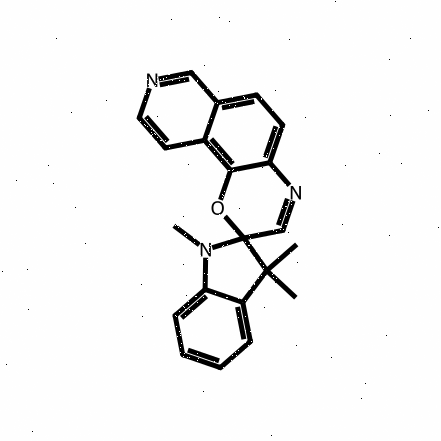 CN1c2ccccc2C(C)(C)C12C=Nc1ccc3cnccc3c1O2